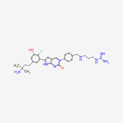 CC(C)(N)CCc1cc(O)c(F)c(-c2cc3cn(-c4ccc(CNCCCNC(=N)N)cc4)c(=O)nc3[nH]2)c1